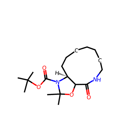 CC(C)(C)OC(=O)N1[C@H]2CCCCCCCNC(=O)C2OC1(C)C